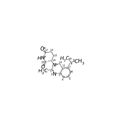 CC1=Nc2cccc(C(C)C)c2CN1C1CCC(=O)NC1=O